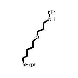 [CH2]CCNCCCOCCCCCCCCCCCC